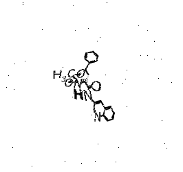 CS(=O)(=O)N[C@H](CCc1ccccc1)C(=O)Nc1cnc2ccccc2c1